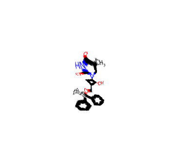 Cc1cn([C@@H]2C[C@H](CO[Si](c3ccccc3)(c3ccccc3)C(C)(C)C)[C@H]2O)c(=O)[nH]c1=O